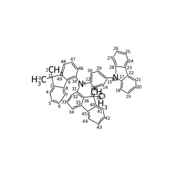 CC1(C)c2ccccc2-c2c(N(c3ccc(-n4c5ccccc5c5ccccc54)cc3)c3cccc4c3C(C)(C)c3ccccc3-4)cccc21